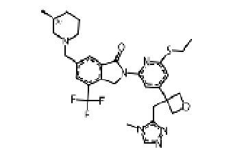 CCSc1cc(C2(Cc3nncn3C)COC2)cc(N2Cc3c(cc(CN4CCC[C@H](C)C4)cc3C(F)(F)F)C2=O)n1